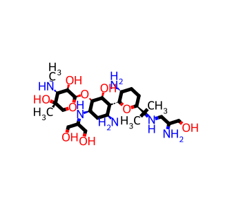 CN[C@@H]1[C@@H](O)[C@@H](O[C@H]2[C@H](NC(CO)CO)C[C@H](N)C([C@H]3O[C@H](C(C)(C)NCC(N)CO)CC[C@H]3N)[C@@H]2O)OC[C@]1(C)O